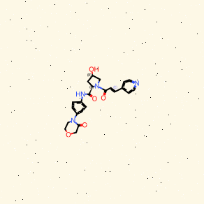 O=C(Nc1ccc(N2CCOCC2=O)cc1)[C@H]1C[C@@H](O)CN1C(=O)/C=C/c1ccncc1